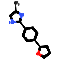 FC(F)(F)c1c[nH]c(-c2ccc(-c3ccco3)cc2)n1